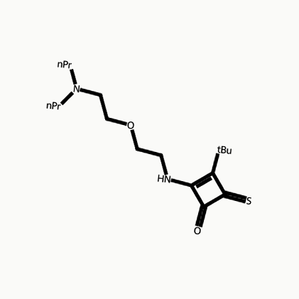 CCCN(CCC)CCOCCNc1c(C(C)(C)C)c(=S)c1=O